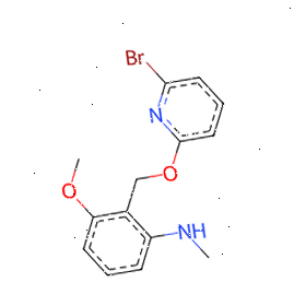 CNc1cccc(OC)c1COc1cccc(Br)n1